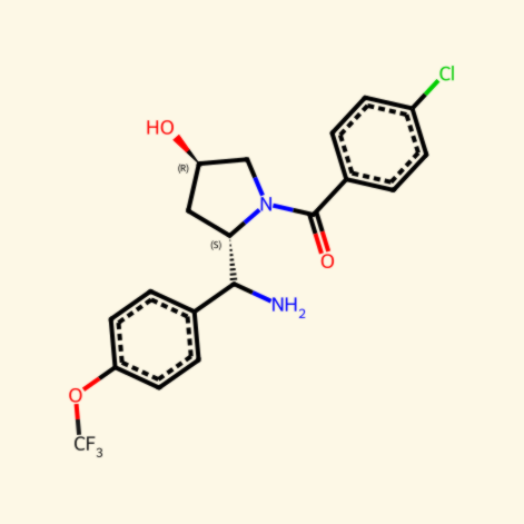 NC(c1ccc(OC(F)(F)F)cc1)[C@@H]1C[C@@H](O)CN1C(=O)c1ccc(Cl)cc1